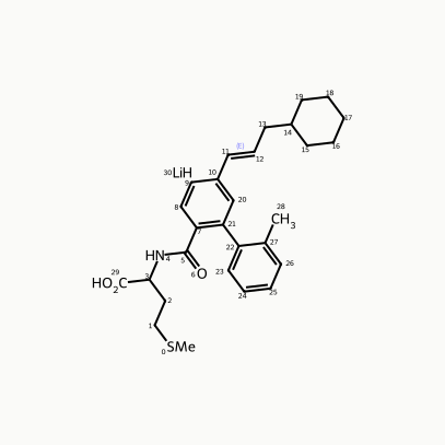 CSCCC(NC(=O)c1ccc(/C=C/CC2CCCCC2)cc1-c1ccccc1C)C(=O)O.[LiH]